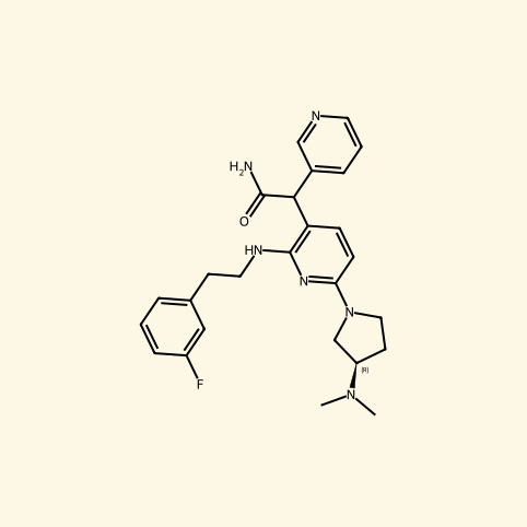 CN(C)[C@@H]1CCN(c2ccc(C(C(N)=O)c3cccnc3)c(NCCc3cccc(F)c3)n2)C1